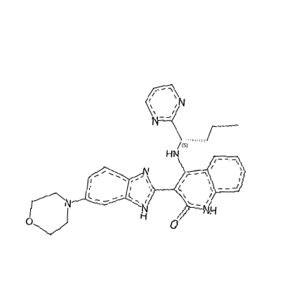 CCC[C@H](Nc1c(-c2nc3ccc(N4CCOCC4)cc3[nH]2)c(=O)[nH]c2ccccc12)c1ncccn1